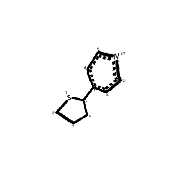 c1cc(C2CCCS2)ccn1